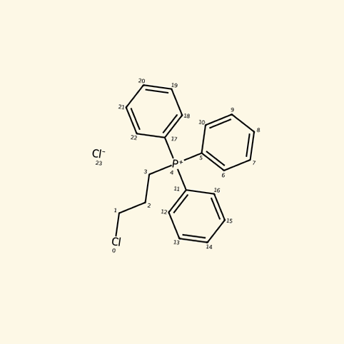 ClCCC[P+](c1ccccc1)(c1ccccc1)c1ccccc1.[Cl-]